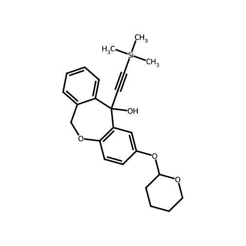 C[Si](C)(C)C#CC1(O)c2ccccc2COc2ccc(OC3CCCCO3)cc21